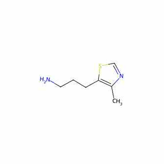 Cc1ncsc1CCCN